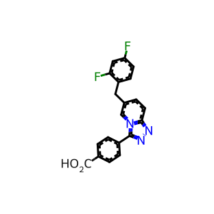 O=C(O)c1ccc(-c2nnc3ccc(Cc4ccc(F)cc4F)cn23)cc1